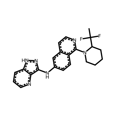 CC(F)(F)C1CCCCN1c1nccc2cc(Nc3n[nH]c4cccnc34)ccc12